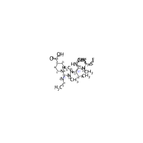 C=C/N=C(/N1CCC(C(=O)O)CC1)N(C)N(C)/C(CC)=C(\NC)N(C)C(=N)SF